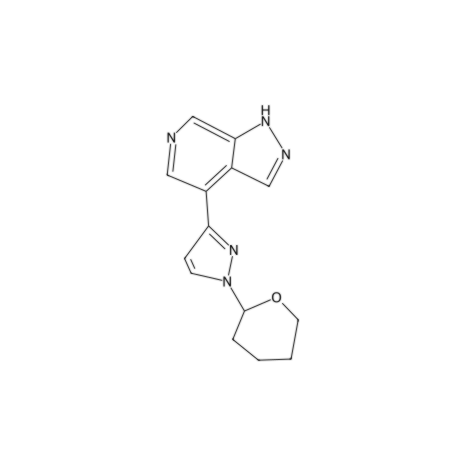 c1cn(C2CCCCO2)nc1-c1cncc2[nH]ncc12